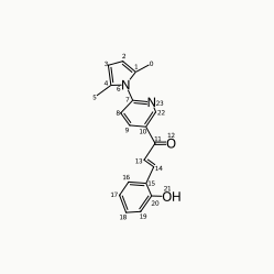 Cc1ccc(C)n1-c1ccc(C(=O)C=Cc2ccccc2O)cn1